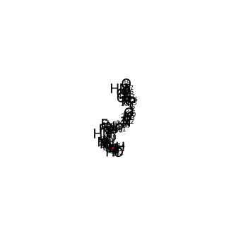 C[C@H](/C=C/c1cccc2c1n(C)c(=O)n2C1CCC(=O)NC1=O)ON1CCN(C[C@H]2CC[C@H](n3cc(NC(=O)c4cnn5ccc(N6C[C@H]7C[C@@H]6CO7)nc45)c(C(F)F)n3)CC2)CC1